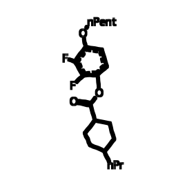 CCCCCOc1ccc(OC(=O)C2CCC(CCC)CC2)c(F)c1F